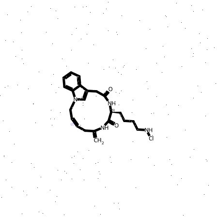 C=C1C/C=C\Cn2cc(c3ccccc32)CC(=O)N[C@@H](CCCCNCl)C(=O)N1